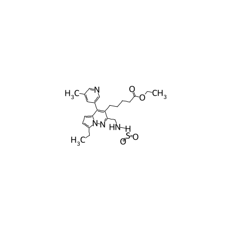 CCOC(=O)CCCCc1c(CNC[SH](=O)=O)nn2c(CC)ccc2c1-c1cncc(C)c1